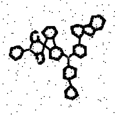 c1ccc(-c2ccc(N(c3cccc(-c4cccc5c4sc4ccccc45)c3)c3ccc4c(c3)-c3ccccc3C43c4ccccc4N(c4ccccc4)c4ccccc43)cc2)cc1